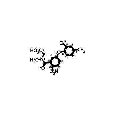 CN(CC(=O)O)C(=O)c1cc(Oc2ccc(C(F)(F)F)cc2Cl)ccc1[N+](=O)[O-]